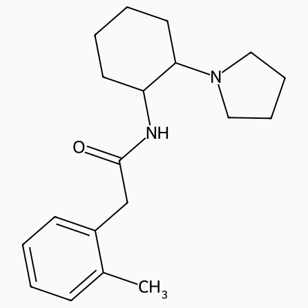 Cc1ccccc1CC(=O)NC1CCCCC1N1CCCC1